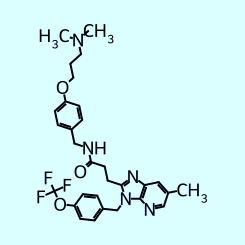 Cc1cnc2c(c1)nc(CCC(=O)NCc1ccc(OCCCN(C)C)cc1)n2Cc1ccc(OC(F)(F)F)cc1